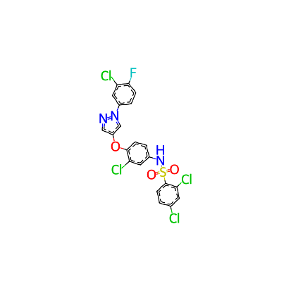 O=S(=O)(Nc1ccc(Oc2cnn(-c3ccc(F)c(Cl)c3)c2)c(Cl)c1)c1ccc(Cl)cc1Cl